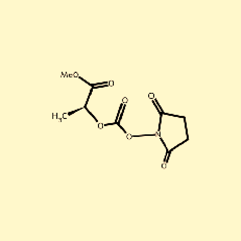 COC(=O)[C@H](C)OC(=O)ON1C(=O)CCC1=O